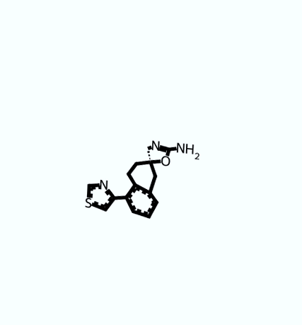 NC1=NC[C@]2(CCc3c(cccc3-c3cscn3)C2)O1